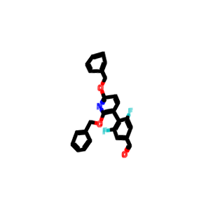 O=Cc1cc(F)c(-c2ccc(OCc3ccccc3)nc2OCc2ccccc2)c(F)c1